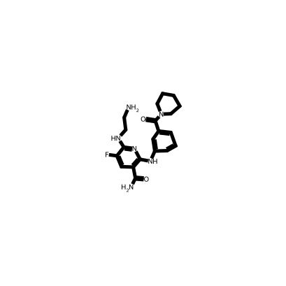 NCCNc1nc(Nc2cccc(C(=O)N3CCCCC3)c2)c(C(N)=O)cc1F